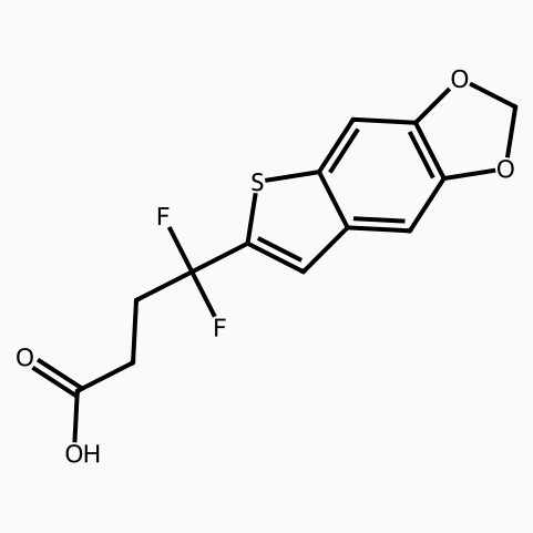 O=C(O)CCC(F)(F)c1cc2cc3c(cc2s1)OCO3